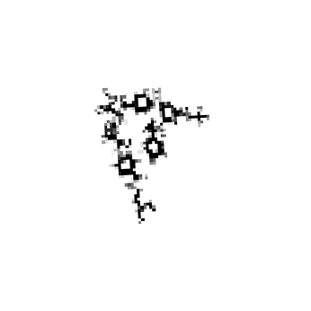 CCC(CC)CCNC(=O)c1ccc(NC(=O)C(=O)NC[C@H](NC(=O)c2ccc(Nc3nc(NC4(c5ccc(Cl)cc5)CC4)nc(OCC(F)(F)F)n3)cc2)C(=O)OC)cc1